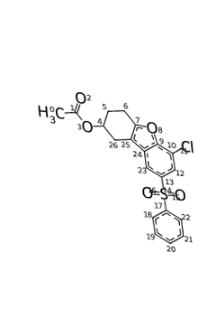 CC(=O)OC1CCc2oc3c(Cl)cc(S(=O)(=O)c4ccccc4)cc3c2C1